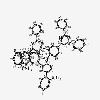 Cc1ccccc1-c1ccc2c(c1)c1cc(-c3ccccc3C)ccc1n2-c1ccc(-c2cc(-c3ccccc3)nc(-c3ccccc3)n2)cc1-c1nc(-c2ccccc2)nc(-c2ccccc2)n1